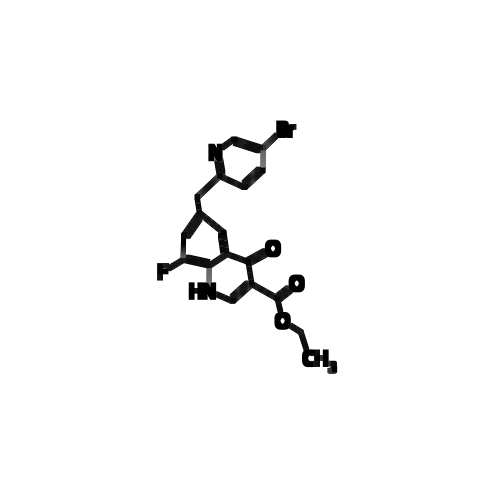 CCOC(=O)c1c[nH]c2c(F)cc(Cc3ccc(Br)cn3)cc2c1=O